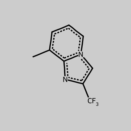 Cc1cccn2cc(C(F)(F)F)nc12